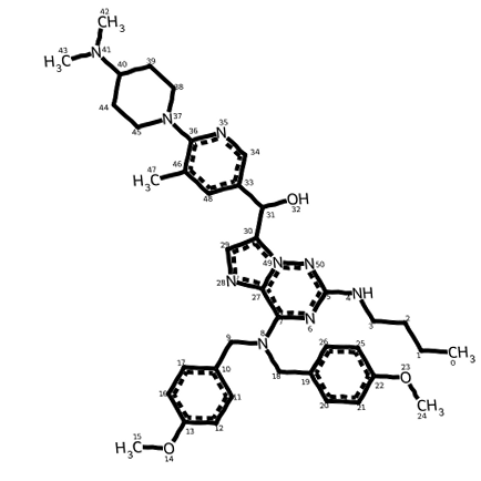 CCCCNc1nc(N(Cc2ccc(OC)cc2)Cc2ccc(OC)cc2)c2ncc(C(O)c3cnc(N4CCC(N(C)C)CC4)c(C)c3)n2n1